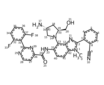 Cn1c(-c2ccccc2C#N)nc2c(N3C[C@H](N)C[C@H]3CO)c(NC(=O)c3ccnc(-c4c(F)cccc4F)n3)ccc21